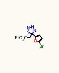 CCOC(=O)CC1(c2ccc(Br)o2)N=NN=N1